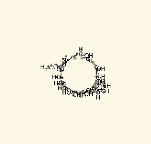 CC1=CCCC(C)C(O)C(C)C(O)CCC=CC(C)C(O)C=CC(C)C(O)C(C)=CC(O[C@H]2O[C@@H](CO)[C@H](O)[C@@H](O)[C@H]2O)C(O)CC(O)CC(O)CC(O)C(C)C(O)C(C)C(O)CC(O)CC(O)C=CCC(C(C)C(O)CCCN)OC1=O